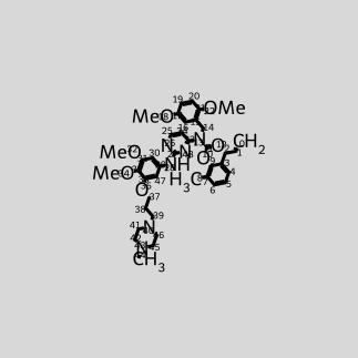 C=CCc1cccc(C)c1OC(=O)N(Cc1cc(OC)ccc1OC)c1ccnc(Nc2cc(OC)c(OC)c(OCCCN3CCN(C)CC3)c2)n1